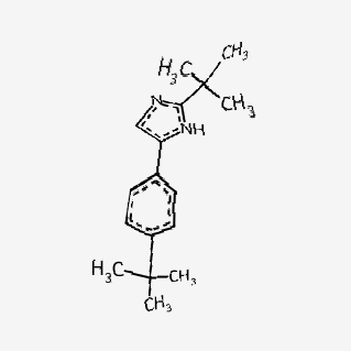 CC(C)(C)c1ccc(-c2cnc(C(C)(C)C)[nH]2)cc1